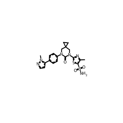 Cc1nc(N2CC3(CC3)CN(c3ccc(-c4ccnn4C)cc3)C2=O)sc1S(N)(=O)=O